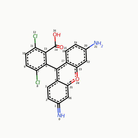 N=c1ccc2c(-c3c(Cl)ccc(Cl)c3C(=O)O)c3ccc(N)cc3oc-2c1